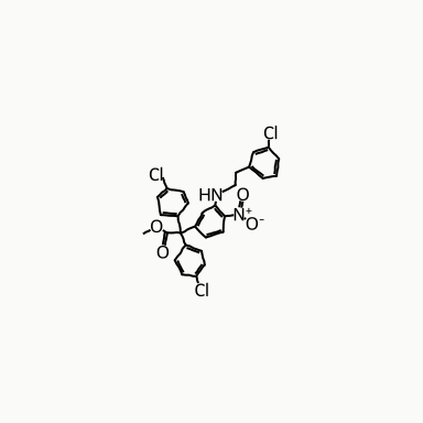 COC(=O)C(c1ccc(Cl)cc1)(c1ccc(Cl)cc1)c1ccc([N+](=O)[O-])c(NCCc2cccc(Cl)c2)c1